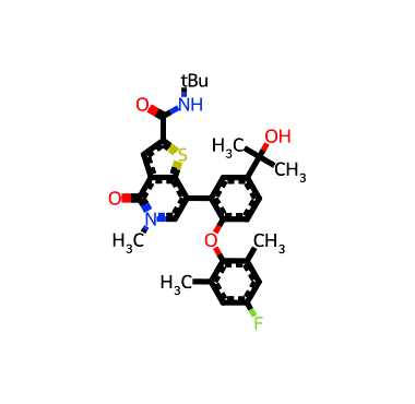 Cc1cc(F)cc(C)c1Oc1ccc(C(C)(C)O)cc1-c1cn(C)c(=O)c2cc(C(=O)NC(C)(C)C)sc12